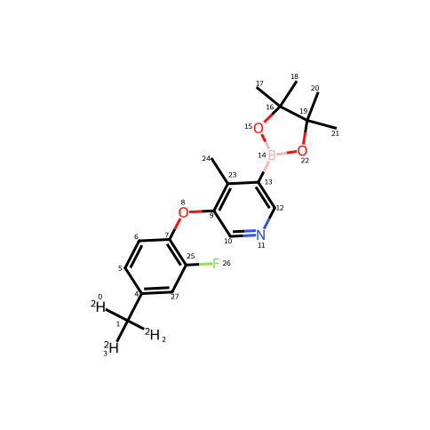 [2H]C([2H])([2H])c1ccc(Oc2cncc(B3OC(C)(C)C(C)(C)O3)c2C)c(F)c1